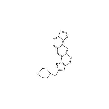 c1cc2ccc3cc4c(ccc5cc(CC6CCCCC6)sc54)cc3c2s1